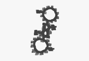 Brc1c(C2CCCCCCCCC(Br)CC2)sc2c(Br)c(C3CCCCCCCCC(Br)CC3)sc12